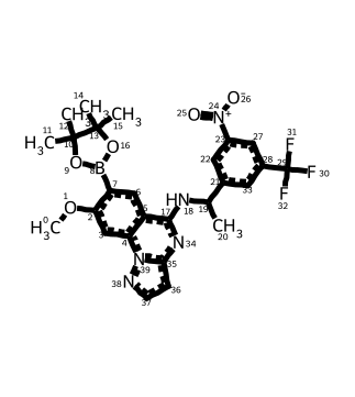 COc1cc2c(cc1B1OC(C)(C)C(C)(C)O1)c(NC(C)c1cc([N+](=O)[O-])cc(C(F)(F)F)c1)nc1ccnn12